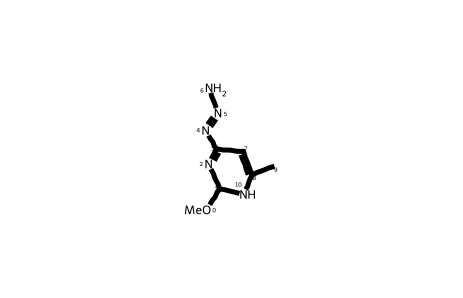 COC1N=C(N=NN)C=C(C)N1